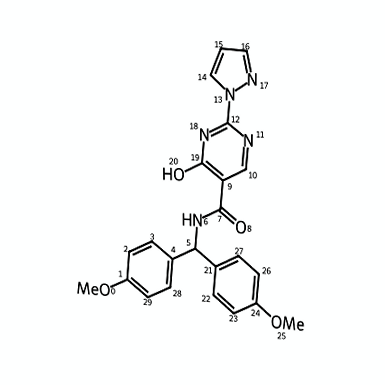 COc1ccc(C(NC(=O)c2cnc(-n3cccn3)nc2O)c2ccc(OC)cc2)cc1